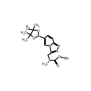 CN(Cc1nnc2ccc(B3OC(C)(C)C(C)(C)O3)cn12)C(=O)OC(C)(C)C